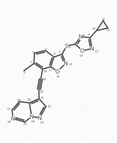 Cc1ccc2c(Sc3nc(C4CC4)no3)noc2c1C#Cc1cnn2cnccc12